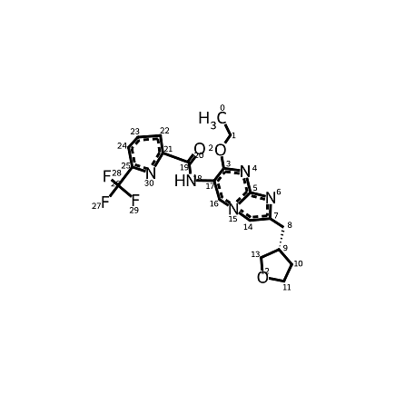 CCOc1nc2nc(C[C@@H]3CCOC3)cn2cc1NC(=O)c1cccc(C(F)(F)F)n1